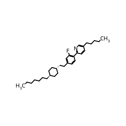 CCCCCCC[C@H]1CC[C@H](CCc2ccc(-c3ccc(CCCCC)cn3)c(F)c2)CC1